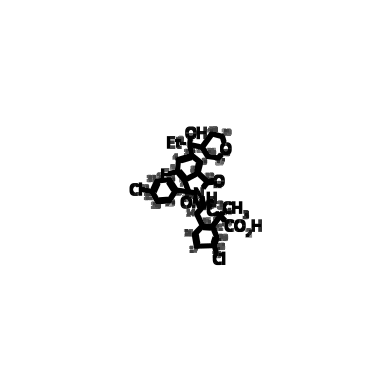 CC[C@@](O)(c1cc(F)c2c(c1)C(=O)N(CCc1ccc(Cl)cc1C(C)(C)C(=O)O)[C@@]2(OC)c1ccc(Cl)cc1)C1CCOCC1